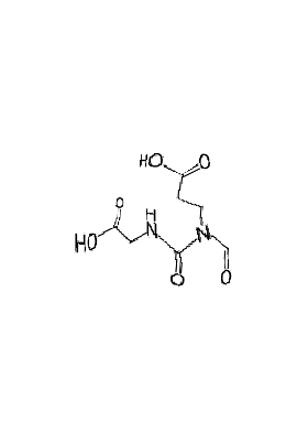 O=CN(CCC(=O)O)C(=O)NCC(=O)O